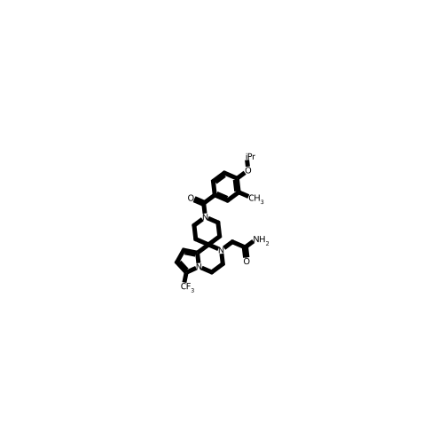 Cc1cc(C(=O)N2CCC3(CC2)c2ccc(C(F)(F)F)n2CCN3CC(N)=O)ccc1OC(C)C